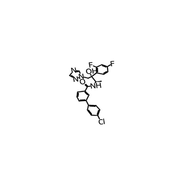 C[C@@H](NC(=O)c1cccc(-c2ccc(Cl)cc2)c1)[C@](O)(Cn1cncn1)c1ccc(F)cc1F